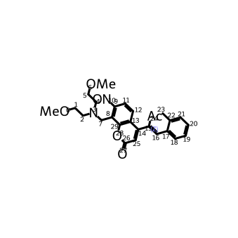 COCCN(CCOC)Cc1c(N=O)ccc2c(/C(=C/c3ccccc3C)C(C)=O)cc(=O)oc12